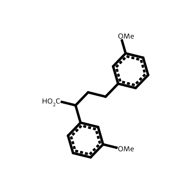 COc1cccc(CCC(C(=O)O)c2cccc(OC)c2)c1